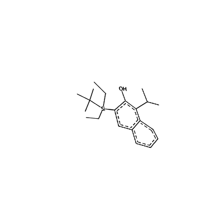 CC[Si](CC)(c1cc2ccccc2c(C(C)C)c1O)C(C)(C)C